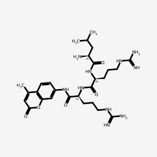 Cc1cc(=O)oc2cc(NC(=O)[C@H](CCCNC(=N)N)NC(=O)[C@H](CCCNC(=N)N)NC(=O)[C@@H](N)CC(C)C)ccc12